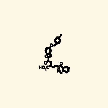 O=C(CC(CCn1nnc2ccccc2c1=O)C(=O)O)c1cc2cc(OCc3ccc(F)cc3)ccc2o1